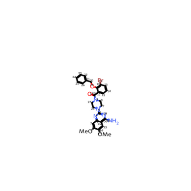 COc1cc2nc(N3CCN(C(=O)c4cccc(Br)c4OCc4ccccc4)CC3)nc(N)c2cc1OC